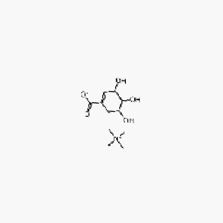 C[N+](C)(C)C.O=C([O-])C1=CC(O)C(O)C(O)C1